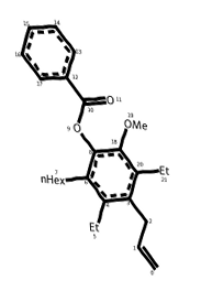 C=CCc1c(CC)c(CCCCCC)c(OC(=O)c2ccccc2)c(OC)c1CC